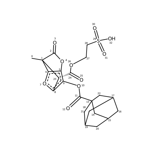 CC12C(=O)Oc3c1oc(c3OC(=O)C13CC4CC(CC(C4)C1)C3)[C@H]2C(=O)OCCS(=O)(=O)O